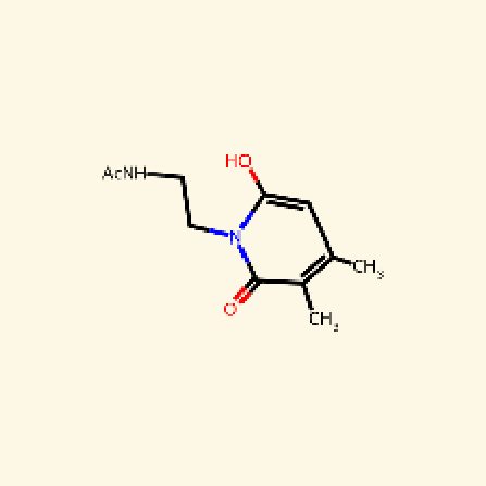 CC(=O)NCCn1c(O)cc(C)c(C)c1=O